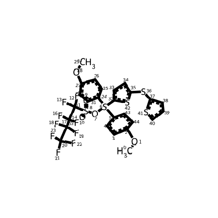 COc1ccc(S(OS(=O)(=O)C(F)(F)C(F)(F)C(F)(F)C(F)(F)F)(c2ccc(OC)cc2)c2ccc(Sc3cccs3)s2)cc1